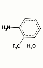 Nc1ccccc1C(F)(F)F.O